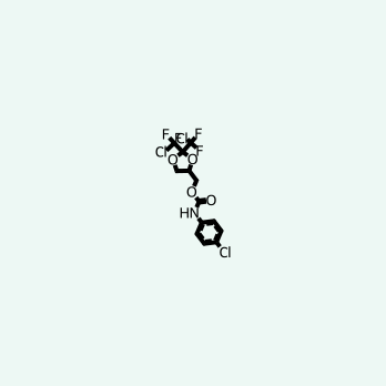 O=C(Nc1ccc(Cl)cc1)OCC1COC(C(F)(F)Cl)(C(F)(F)Cl)O1